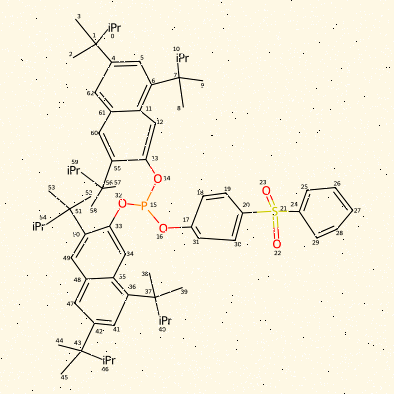 CC(C)C(C)(C)c1cc(C(C)(C)C(C)C)c2cc(OP(Oc3ccc(S(=O)(=O)c4ccccc4)cc3)Oc3cc4c(C(C)(C)C(C)C)cc(C(C)(C)C(C)C)cc4cc3C(C)(C)C(C)C)c(C(C)(C)C(C)C)cc2c1